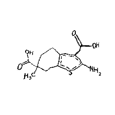 CC1(C(=O)O)CCc2c(sc(N)c2C(=O)O)C1